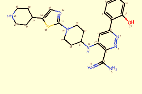 N=C(N)c1nnc(-c2ccccc2O)cc1NC1CCN(c2ncc(C3CCNCC3)s2)CC1